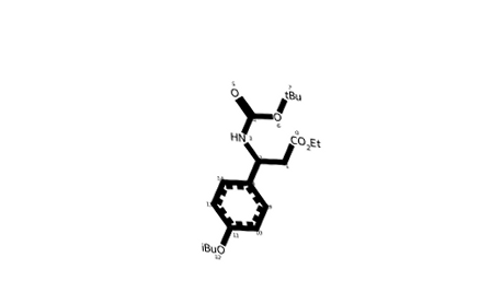 CCOC(=O)CC(NC(=O)OC(C)(C)C)c1ccc(OCC(C)C)cc1